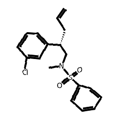 C=CC[C@H](CN(C)S(=O)(=O)c1ccccc1)c1cccc(Cl)c1